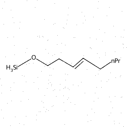 CCCCC=CCCO[SiH3]